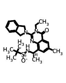 CCn1c(N2Cc3ccccc3C2)nc2c([C@@H](C)N[S@+]([O-])C(C)(C)C)cc(C)cc2c1=O